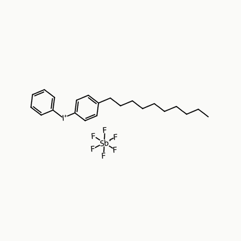 CCCCCCCCCCc1ccc([I+]c2ccccc2)cc1.[F][Sb-]([F])([F])([F])([F])[F]